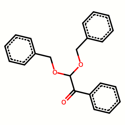 O=C(c1ccccc1)C(OCc1ccccc1)OCc1ccccc1